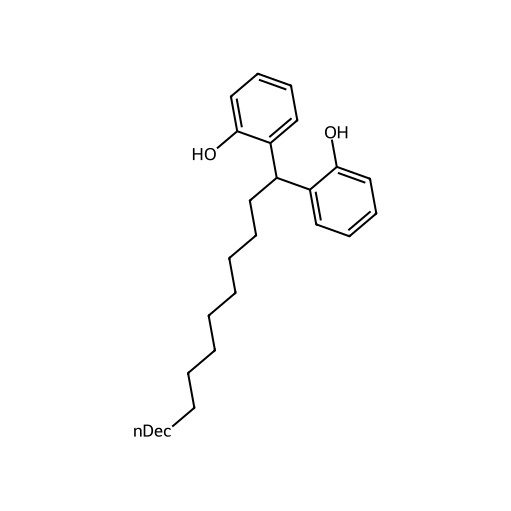 CCCCCCCCCCCCCCCCCCC(c1ccccc1O)c1ccccc1O